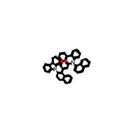 c1ccc(-c2ccccc2N(c2cccc(-c3c(-n4c5ccccc5c5ccccc54)ccc4ccccc34)c2)c2cccc3ccccc23)cc1